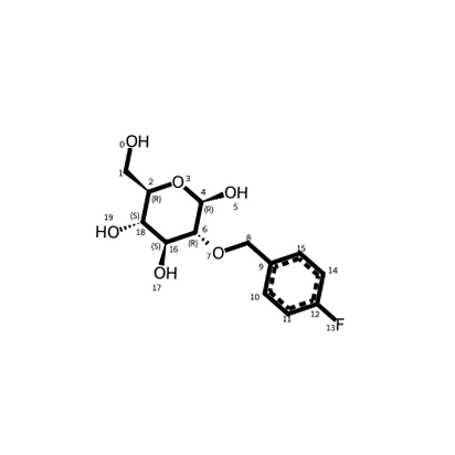 OC[C@H]1O[C@@H](O)[C@H](OCc2ccc(F)cc2)[C@@H](O)[C@@H]1O